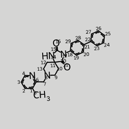 Cc1cccnc1CN1CCC2(CC1)NC(=O)N(c1ccc(-c3ccccc3)cc1)C2=O